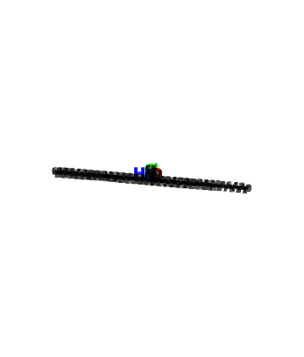 CCCCCCCCCCCCCCCCCCCCCCCCCCCCCCC(CCCCCCCCCCCCCCCCCCCCCCCCCCCCCC)C(=O)NCl